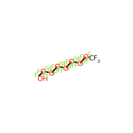 OC(F)C(F)(F)OC(F)(F)C(F)(F)OC(F)(F)C(F)(F)OC(F)(F)C(F)(F)OC(F)(F)C(F)(F)OC(F)(F)C(F)(F)OC(F)(F)C(F)(F)OC(F)(F)C(F)(F)F